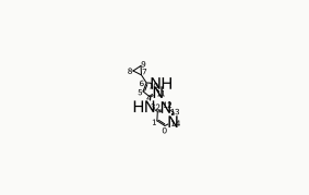 c1cc(Nc2cc(C3CC3)[nH]n2)ncn1